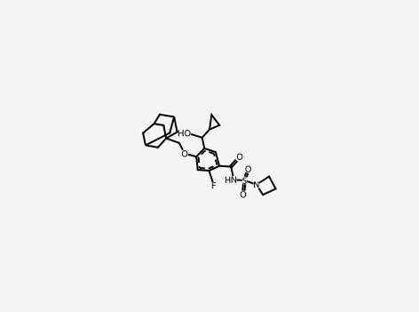 O=C(NS(=O)(=O)N1CCC1)c1cc(C(O)C2CC2)c(OCC23CC4CC(CC(C4)C2)C3)cc1F